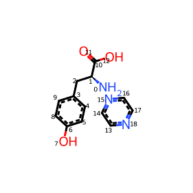 N[C@@H](Cc1ccc(O)cc1)C(=O)O.c1cnccn1